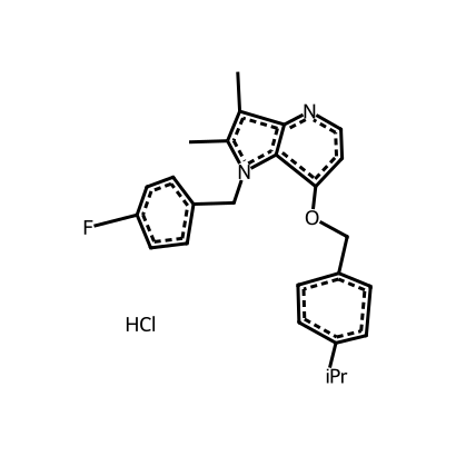 Cc1c(C)n(Cc2ccc(F)cc2)c2c(OCc3ccc(C(C)C)cc3)ccnc12.Cl